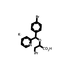 CC(C)CC(OC(c1ccc(Br)cc1)c1ccccn1)C(=O)O.[K]